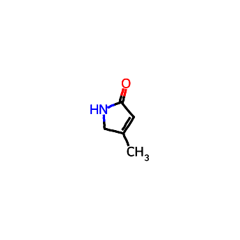 CC1=CC(=O)NC1